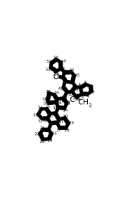 CC1(C)c2ccccc2-c2c1c(-c1ccc(-c3c4c(c(-c5ccccc5)c5ccccc35)=CCCC=4)c3ccccc13)cc1c2ccc2c3ccccc3oc12